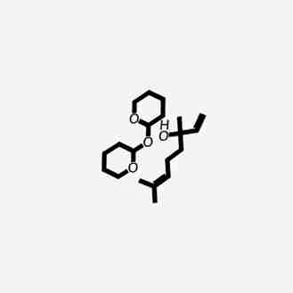 C1CCC(OC2CCCCO2)OC1.C=CC(C)(O)CCC=C(C)C